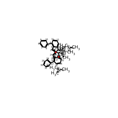 CC1=Cc2c(-c3ccccc3)cccc2[CH]1[Ti]([Cl])([Cl])([I])([I])([CH]1C(C)=Cc2c(-c3ccccc3)cccc21)[SiH](C)C.CN(C)C.CN(C)C